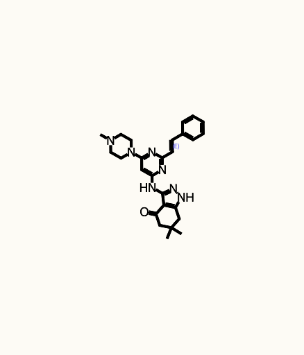 CN1CCN(c2cc(Nc3n[nH]c4c3C(=O)CC(C)(C)C4)nc(/C=C/c3ccccc3)n2)CC1